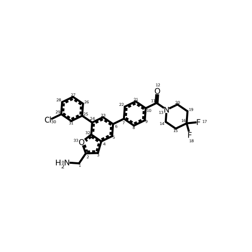 NCc1cc2cc(-c3ccc(C(=O)N4CCC(F)(F)CC4)cc3)cc(-c3cccc(Cl)c3)c2o1